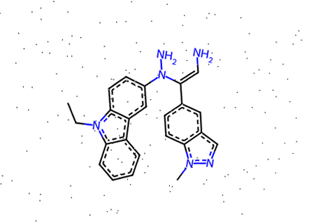 CCn1c2ccccc2c2cc(N(N)/C(=C\N)c3ccc4c(cnn4C)c3)ccc21